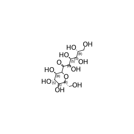 O=C(C1O[C@H](CO)[C@@H](O)[C@H](O)[C@H]1O)[C@H](O)[C@@H](O)[C@@H](O)[C@H](O)CO